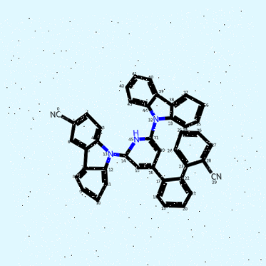 N#Cc1ccc2c(c1)c1ccccc1n2C1C=C(c2ccccc2-c2ccccc2C#N)C=C(n2c3ccccc3c3ccccc32)N1